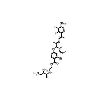 C=C(NCCNC(=O)c1ccc(NC(/C(C)=N/C=C(\C)c2ccc(NC)c(F)c2F)N(C)/C=C\C)cc1CC)C(N)CN